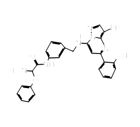 Bc1cnn2c(NCc3cccc(NC(=O)C(N)Oc4ccccc4)c3)cc(-c3ccccc3O)nc12